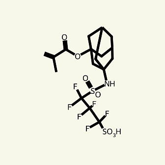 C=C(C)C(=O)OC12CC3CC(CC(NS(=O)(=O)C(F)(F)C(F)(F)C(F)(F)S(=O)(=O)O)(C3)C1)C2